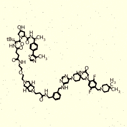 Cc1ncsc1-c1ccc([C@H](C)NC(=O)[C@@H]2C[C@@H](O)CN2C(=O)[C@@H](NC(=O)CCC(=O)NCCOCCN2C[C@@H]3CN(CCC(=O)NCc4cccc(CNc5cc(N6CCC7(CC6)CN(c6cc(F)c(CN8CCC(C)(C)CC8)cc6F)CC(=O)N7)ncn5)c4)C[C@@H]3C2)C(C)(C)C)cc1